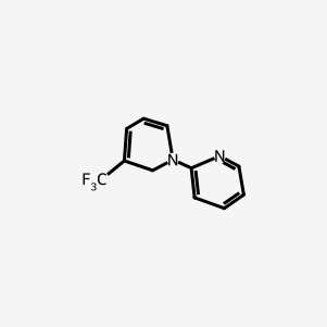 FC(F)(F)C1=CC=CN(c2ccccn2)C1